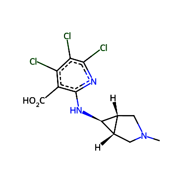 CN1C[C@@H]2[C@H](C1)[C@H]2Nc1nc(Cl)c(Cl)c(Cl)c1C(=O)O